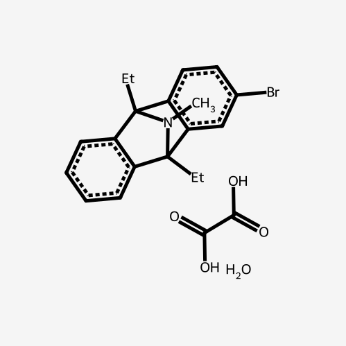 CCC12c3ccccc3C(CC)(c3cc(Br)ccc31)N2C.O.O=C(O)C(=O)O